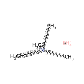 CCCCCCCCCCCCCC[N+](CCC)(CCCCCCCCCCCCCC)CCCCCCCCCCCCCC.[BH4-]